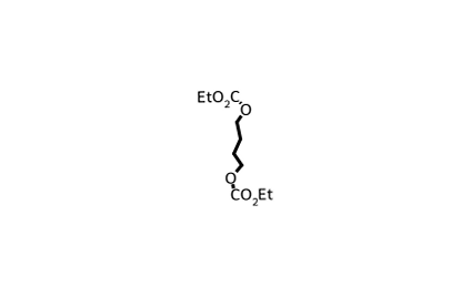 CCOC(=O)OCCCCOC(=O)OCC